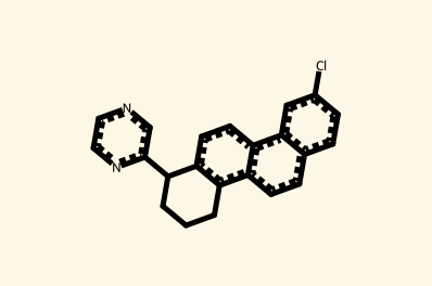 Clc1ccc2ccc3c4c(ccc3c2c1)C(c1cnccn1)CCC4